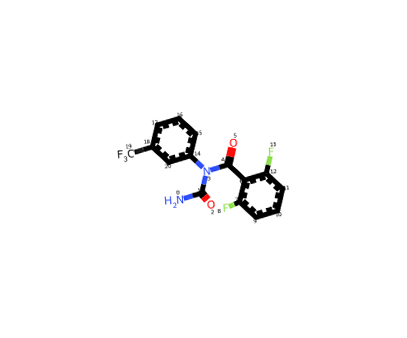 NC(=O)N(C(=O)c1c(F)cccc1F)c1cccc(C(F)(F)F)c1